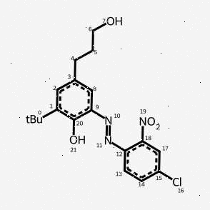 CC(C)(C)c1cc(CCCO)cc(N=Nc2ccc(Cl)cc2[N+](=O)[O-])c1O